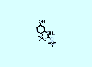 C[Si](C)(C)OC(O[Si](C)(C)C)[SiH2]C1CC[CH]C(O)C1